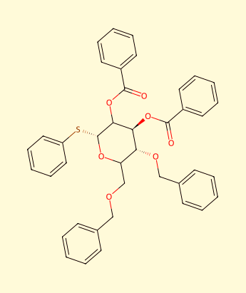 O=C(OC1[C@@H](Sc2ccccc2)OC(COCc2ccccc2)[C@@H](OCc2ccccc2)[C@@H]1OC(=O)c1ccccc1)c1ccccc1